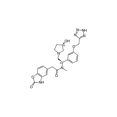 CN(C(=O)Cc1ccc2oc(=O)[nH]c2c1)[C@@H](CN1CC[C@@H](O)C1)c1cccc(OCc2nn[nH]n2)c1